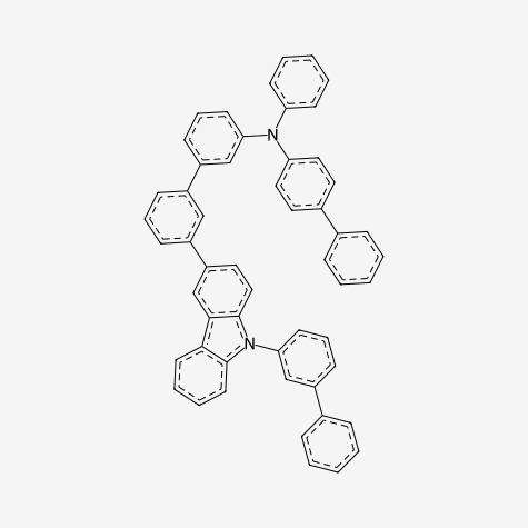 c1ccc(-c2ccc(N(c3ccccc3)c3cccc(-c4cccc(-c5ccc6c(c5)c5ccccc5n6-c5cccc(-c6ccccc6)c5)c4)c3)cc2)cc1